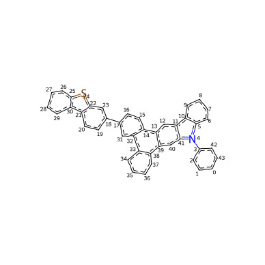 c1ccc(-n2c3ccccc3c3cc4c5ccc(-c6ccc7c(c6)sc6ccccc67)cc5c5ccccc5c4cc32)cc1